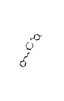 O=C(c1ccc(F)cc1)N1CCc2nc(C=Cc3ccccc3)oc2CC1